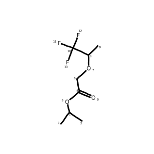 CC(C)OC(=O)COC(C)C(F)(F)F